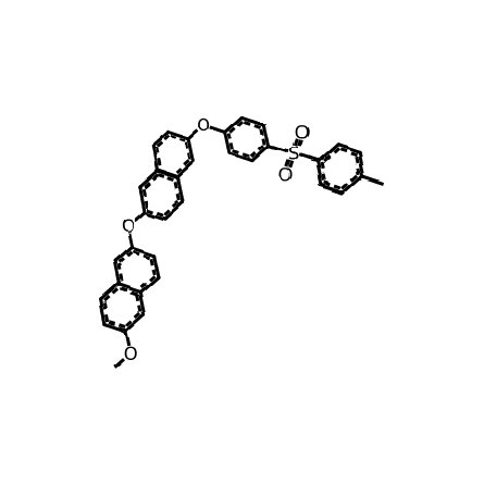 COc1ccc2cc(Oc3ccc4cc(Oc5ccc(S(=O)(=O)c6ccc(C)cc6)cc5)ccc4c3)ccc2c1